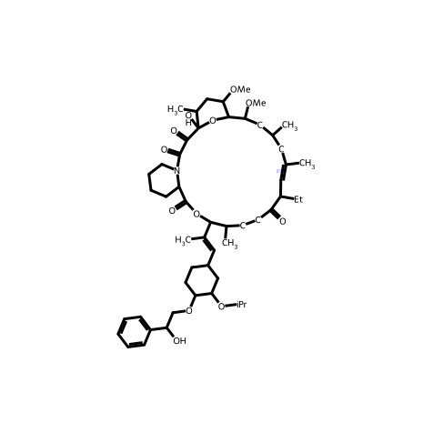 CCC1/C=C(\C)CC(C)CC(OC)C2OC(O)(C(=O)C(=O)N3CCCCC3C(=O)OC(C(C)=CC3CCC(OCC(O)c4ccccc4)C(OC(C)C)C3)C(C)CCC1=O)C(C)CC2OC